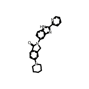 O=C1c2ccc(N3CCCCC3)cc2CN1c1ccc2[nH]c(-c3ccccn3)nc2c1